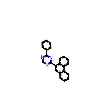 c1ccc(-c2ncnc(-c3cc4ccccc4c4ccccc34)n2)cc1